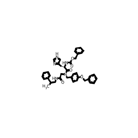 CC(CNC(=O)CN(Cc1ccc(OCc2ccccc2)cc1)C(=O)[C@H](Cc1c[nH]cn1)NC(=O)OCc1ccccc1)c1ccccc1